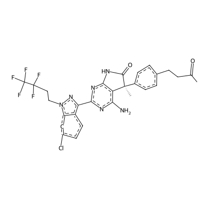 CC(=O)CCc1ccc([C@]2(C)C(=O)Nc3nc(-c4nn(CCC(F)(F)C(F)(F)F)c5cc(Cl)ccc45)nc(N)c32)cc1